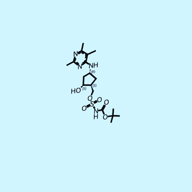 Cc1nc(C)c(C)c(N[C@@H]2C[C@@H](COS(=O)(=O)NC(=O)OC(C)(C)C)[C@@H](O)C2)n1